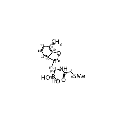 CSCC(=O)N[C@@H](Cc1coc2c(C)cccc12)B(O)O